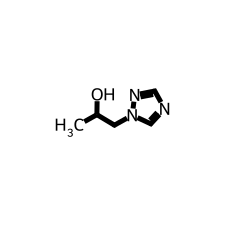 CC(O)Cn1cncn1